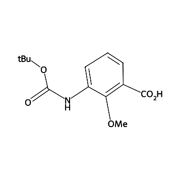 COc1c(NC(=O)OC(C)(C)C)cccc1C(=O)O